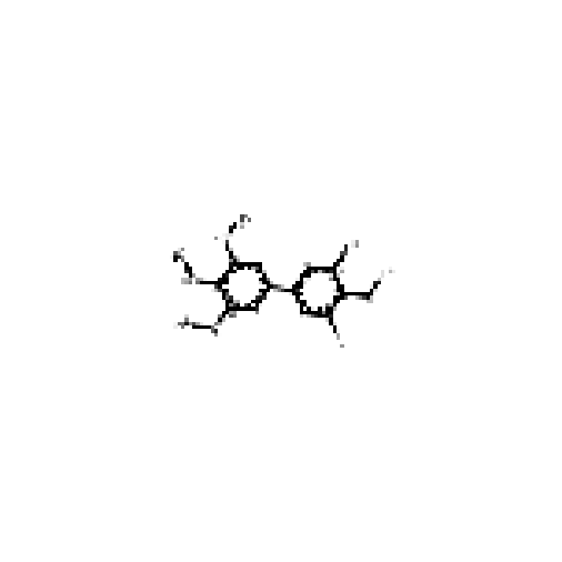 CCCOc1cc(-c2cc(F)c(CF)c(F)c2)cc(OCCC)c1OCCC